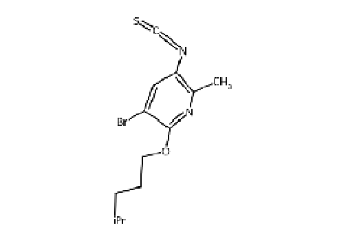 Cc1nc(OCCCC(C)C)c(Br)cc1N=C=S